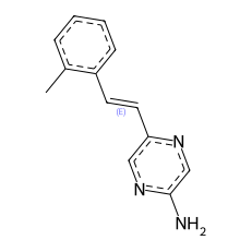 Cc1ccccc1/C=C/c1cnc(N)cn1